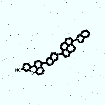 N#Cc1ccc2c(c1)Oc1cccc3c(-c4ccc5cc(-c6ccc7ccc8c(-c9ccc%10ccccc%10c9)ccc9ccc6c7c98)ccc5c4)ccc-2c13